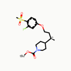 C[C@H](CCOc1ccc(S(C)(=O)=O)c(F)c1)C1CCN(C(=O)OC(C)(C)C)CC1